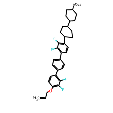 C=CCOc1ccc(-c2ccc(-c3ccc(C4CCC(C5CCC(CCCCCCCC)CC5)CC4)c(F)c3F)cc2)c(F)c1F